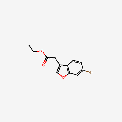 CCOC(=O)Cc1coc2cc(Br)ccc12